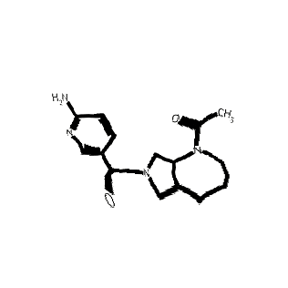 CC(=O)N1CCCC2CN(C(=O)c3ccc(N)nc3)CC21